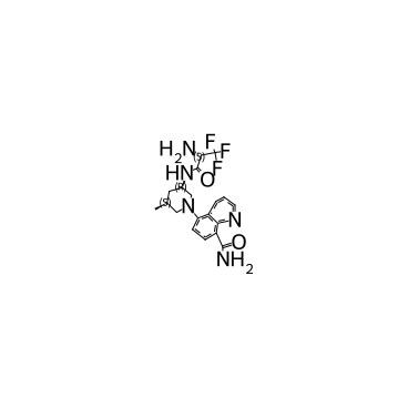 C[C@H]1C[C@@H](NC(=O)[C@H](N)C(F)(F)F)CN(c2ccc(C(N)=O)c3ncccc23)C1